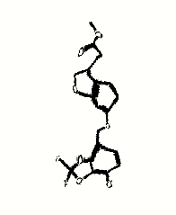 COC(=O)CC1COc2cc(OCc3ccc(Cl)c4c3OC(F)(F)O4)ccc21